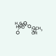 CCO[C@@H](CC(=O)O)c1ccc(-c2cccc(N(C)C(=O)NCCc3ccccc3)n2)cc1